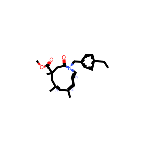 CCc1ccc(CN2/C=C/C=C(C)\C=C(\C)CC(C)(C(=O)OC)CC2=O)cc1